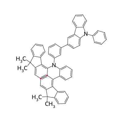 CC1(C)c2ccccc2-c2c(-c3ccccc3N(c3cccc(-c4ccc5c(c4)c4ccccc4n5-c4ccccc4)c3)c3cccc4c3-c3ccccc3C4(C)C)cccc21